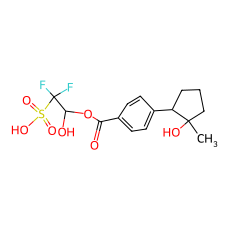 CC1(O)CCCC1c1ccc(C(=O)OC(O)C(F)(F)S(=O)(=O)O)cc1